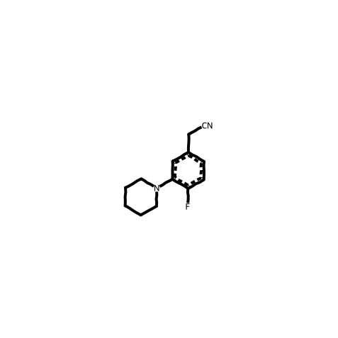 N#CCc1ccc(F)c(N2CCCCC2)c1